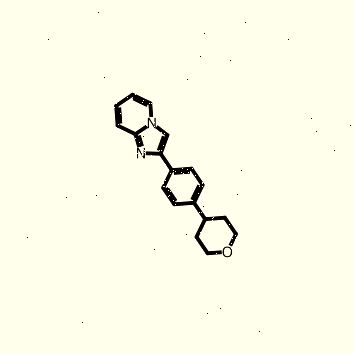 c1ccn2cc(-c3ccc(C4CCOCC4)cc3)nc2c1